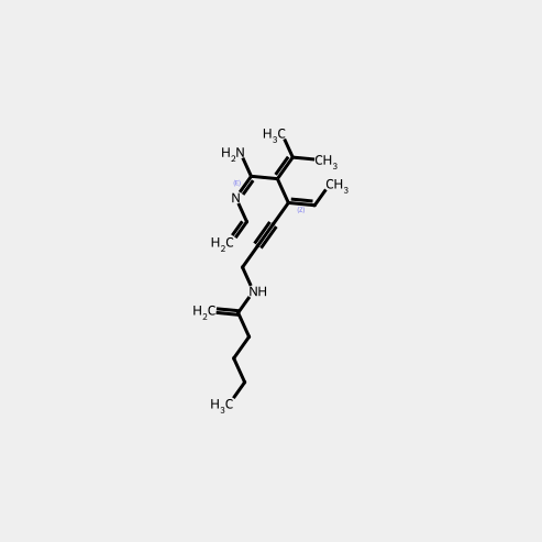 C=C/N=C(/N)C(=C(C)C)/C(C#CCNC(=C)CCCC)=C\C